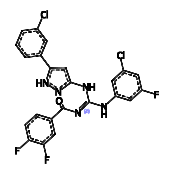 O=C(/N=C(/Nc1cc(F)cc(Cl)c1)Nc1cc(-c2cccc(Cl)c2)[nH]n1)c1ccc(F)c(F)c1